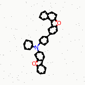 c1ccc(N(c2ccc(-c3ccc4oc5ccc6ccccc6c5c4c3)cc2)c2ccc3c(c2)oc2ccccc23)cc1